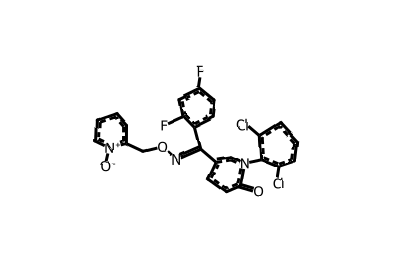 O=c1ccc(C(=NOCc2cccc[n+]2[O-])c2ccc(F)cc2F)cn1-c1c(Cl)cccc1Cl